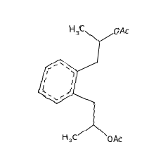 CC(=O)OC(C)Cc1ccccc1CC(C)OC(C)=O